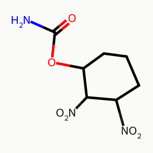 NC(=O)OC1CCCC([N+](=O)[O-])C1[N+](=O)[O-]